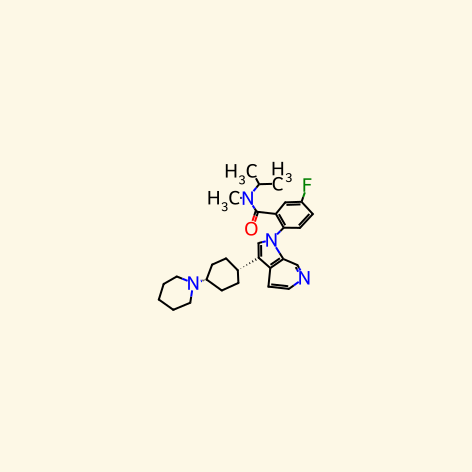 CC(C)N(C)C(=O)c1cc(F)ccc1-n1cc([C@H]2CC[C@@H](N3CCCCC3)CC2)c2ccncc21